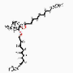 CCCCCCCCCCCCCCCCCCOCC(C)OCCCCCCCCCCCCCCCCCC.CNC